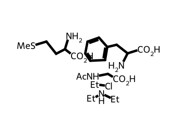 CC(=O)NCC(=O)O.CCCl.CCNCC.CSCCC(N)C(=O)O.NC(Cc1ccccc1)C(=O)O